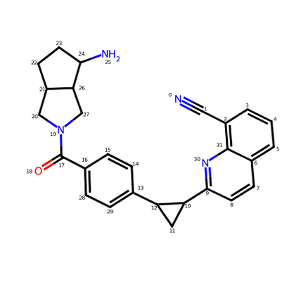 N#Cc1cccc2ccc(C3CC3c3ccc(C(=O)N4CC5CCC(N)C5C4)cc3)nc12